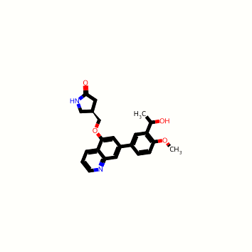 COc1ccc(-c2cc(OC[C@H]3CNC(=O)C3)c3cccnc3c2)cc1C(C)O